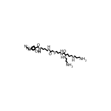 [N-]=[N+]=Nc1ccc(C(=O)NCCCCNC(=O)CSCCCNC(=O)C(CCCNCCCN)NCCCN)c(O)c1